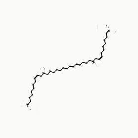 NC(=O)CCCCCCC/C=C\CC(O)CCCCCCCCCCCCCCC(O)C/C=C\CCCCCCCC(N)=O